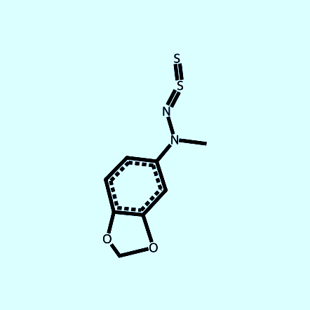 CN(N=S=S)c1ccc2c(c1)OCO2